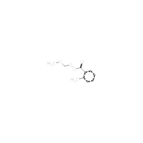 COCOOC(=O)c1ccccc1C